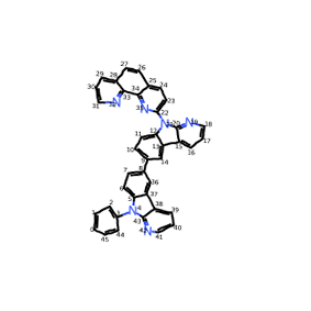 c1ccc(-n2c3ccc(-c4ccc5c(c4)c4cccnc4n5-c4ccc5ccc6cccnc6c5n4)cc3c3cccnc32)cc1